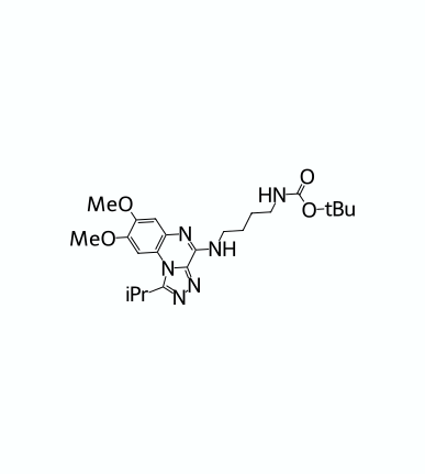 COc1cc2nc(NCCCCNC(=O)OC(C)(C)C)c3nnc(C(C)C)n3c2cc1OC